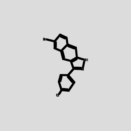 Clc1ccc(-c2n[nH]c3cc4ccc(Br)cc4cc23)cc1